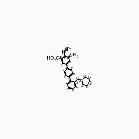 C=C1C=C(c2ccc(-c3ccccc3CN3CCOCC3)cc2)C=C(C(=O)O)/C1=N/C(C)C